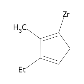 CCC1=CC[C]([Zr])=C1C